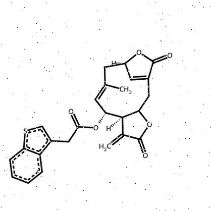 C=C1C(=O)OC2CC3=C[C@@H](C/C(C)=C/[C@@H](OC(=O)Cc4csc5ccccc45)[C@H]12)OC3=O